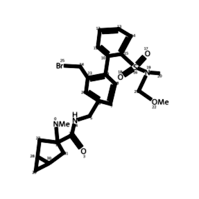 CNC1(C(=O)NCc2ccc(-c3ccccc3S(=O)(=O)N(C)COC)c(CBr)c2)CC2CC2C1